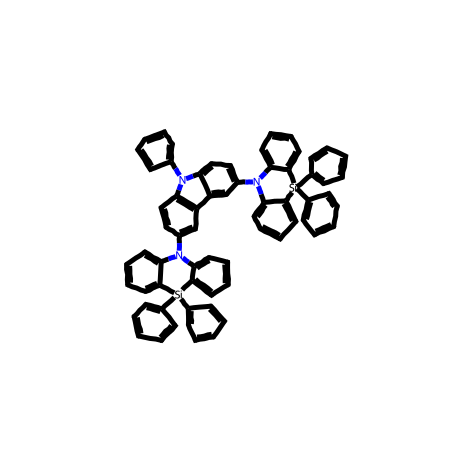 c1ccc(-n2c3ccc(N4c5ccccc5[Si](c5ccccc5)(c5ccccc5)c5ccccc54)cc3c3cc(N4c5ccccc5[Si](c5ccccc5)(c5ccccc5)c5ccccc54)ccc32)cc1